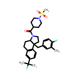 Cc1cc(CC23CCN(C(=O)C4CCN(S(C)(=O)=O)CC4)C2CCc2cc(C(C)(F)C(F)(F)F)ccc23)ccc1F